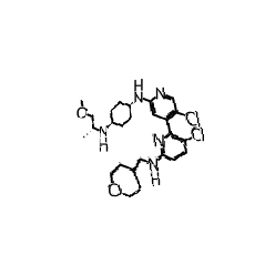 COC[C@@H](C)N[C@H]1CC[C@H](Nc2cc(-c3nc(NCC4CCOCC4)ccc3Cl)c(Cl)cn2)CC1